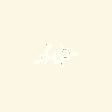 Cc1cc(Br)cc2c(=O)oc(-c3cc(Br)nn3C3CC3)nc12